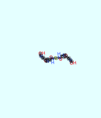 CC1(C)c2cc(C(=O)NCCSSCCNC(=O)c3ccc4c(c3)C(C)(C)C3(/C=C/c5ccc(N6CCC(O)C6)cc5)OCCN43)ccc2N2CCOC21/C=C/c1ccc(N2CCC(O)C2)cc1